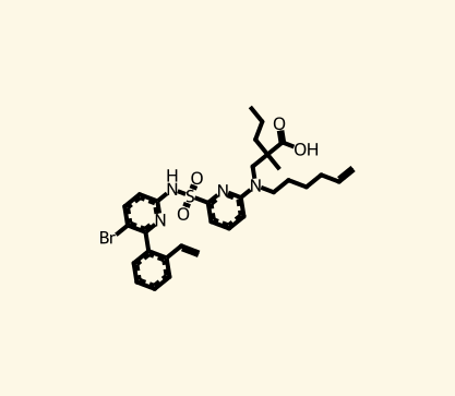 C=CCCCCN(CC(C)(CCC)C(=O)O)c1cccc(S(=O)(=O)Nc2ccc(Br)c(-c3ccccc3C=C)n2)n1